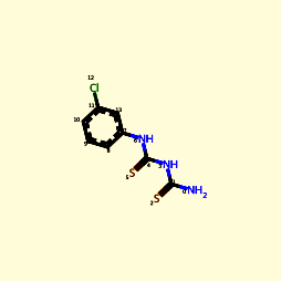 NC(=S)NC(=S)Nc1cccc(Cl)c1